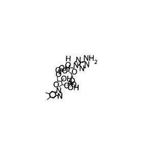 Cc1cc2ncn(C3OC4COP(=O)(O)OC5C(COP(=O)(O)OC3C4O)OC(n3cnc4c(N)ncnc43)C5O)c2cc1C